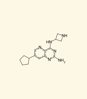 Nc1nc(NC2CNC2)c2ncc(C3CCCC3)cc2n1